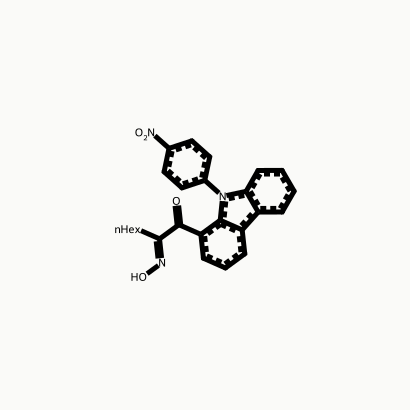 CCCCCCC(=NO)C(=O)c1cccc2c3ccccc3n(-c3ccc([N+](=O)[O-])cc3)c12